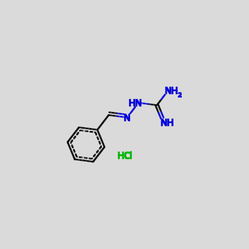 Cl.N=C(N)NN=Cc1ccccc1